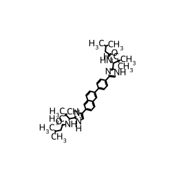 CC(C)CC(=O)N[C@H](c1nc(-c2ccc(-c3ccc4cc(-c5c[nH]c([C@@H](NC(=O)CC(C)C)C(C)(C)C)n5)ccc4c3)cc2)c[nH]1)C(C)(C)C